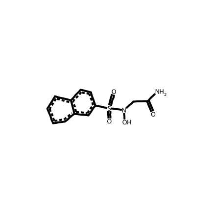 NC(=O)CN(O)S(=O)(=O)c1ccc2ccccc2c1